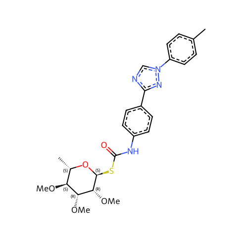 CO[C@@H]1[C@@H](OC)[C@H](C)O[C@@H](SC(=O)Nc2ccc(-c3ncn(-c4ccc(C)cc4)n3)cc2)[C@@H]1OC